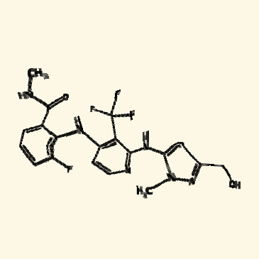 CNC(=O)c1cccc(F)c1Nc1ccnc(Nc2cc(CO)nn2C)c1C(F)(F)F